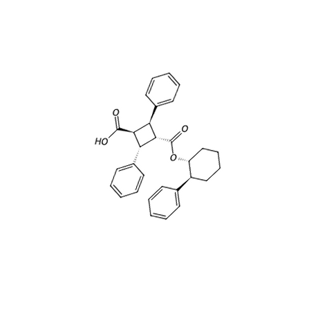 O=C(O)[C@H]1[C@@H](c2ccccc2)[C@H](C(=O)O[C@@H]2CCCC[C@H]2c2ccccc2)[C@@H]1c1ccccc1